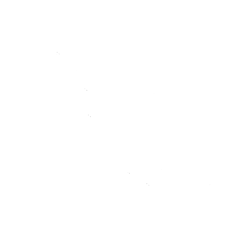 Cc1ccc2c(N3CCN(CCc4cccc5c4OCc4c(C(=O)OCC6CC6)ncn4-5)CC3)cccc2n1.Cl.Cl